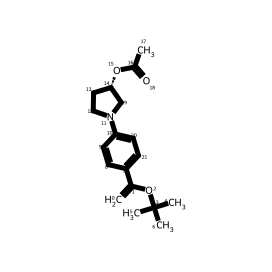 C=C(OC(C)(C)C)c1ccc(N2CC[C@H](OC(C)=O)C2)cc1